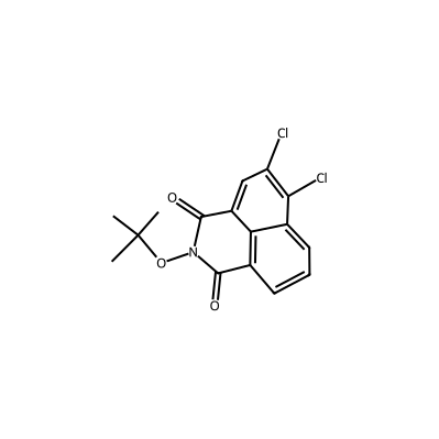 CC(C)(C)ON1C(=O)c2cccc3c(Cl)c(Cl)cc(c23)C1=O